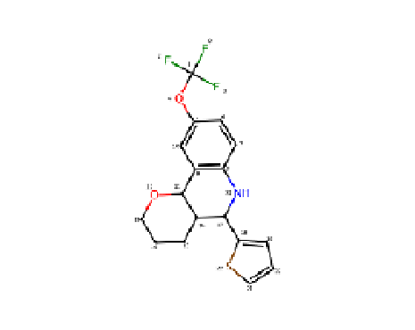 FC(F)(F)Oc1ccc2c(c1)C1OCCCC1C(c1cccs1)N2